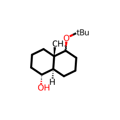 CC(C)(C)O[C@H]1CCC[C@H]2[C@H](O)CCC[C@]12C